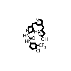 O=C(Nc1ccc(Cl)c(C(F)(F)F)c1)Nc1ccc(Cc2cc(Cc3cc(O)n[nH]3)ccn2)cn1